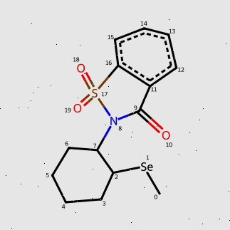 C[Se]C1CCCCC1N1C(=O)c2ccccc2S1(=O)=O